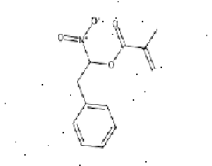 C=C(C)C(=O)OC(Cc1ccccc1)[N+](=O)[O-]